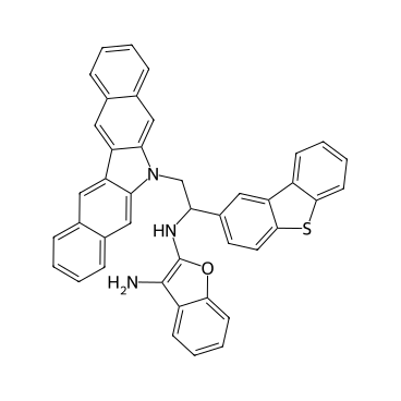 Nc1c(NC(Cn2c3cc4ccccc4cc3c3cc4ccccc4cc32)c2ccc3sc4ccccc4c3c2)oc2ccccc12